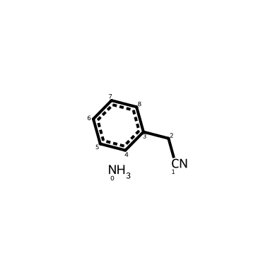 N.N#CCc1ccccc1